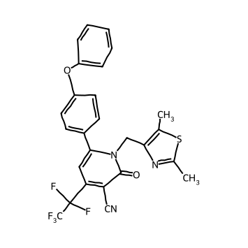 Cc1nc(Cn2c(-c3ccc(Oc4ccccc4)cc3)cc(C(F)(F)C(F)(F)F)c(C#N)c2=O)c(C)s1